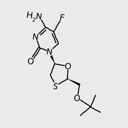 CC(C)(C)OC[C@@H]1O[C@H](n2cc(F)c(N)nc2=O)CS1